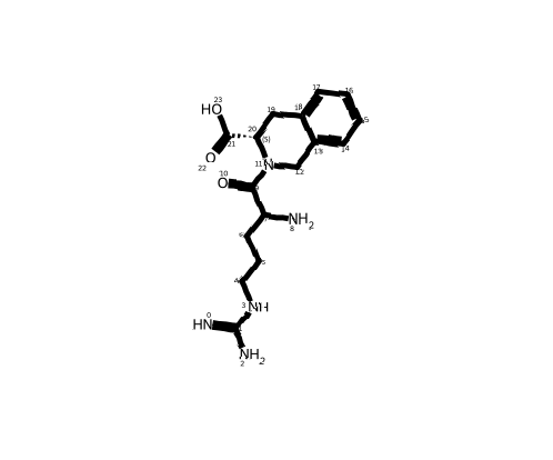 N=C(N)NCCCC(N)C(=O)N1Cc2ccccc2C[C@H]1C(=O)O